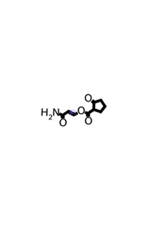 NC(=O)/C=C/OC(=O)C1CCCC1=O